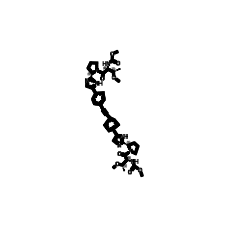 COC(=O)N[C@@H](C(=O)N1CCC[C@H]1c1ncc(-c2ccc(C#Cc3ccc(-c4cnc([C@@H]5CCCN5C(=O)[C@H](NC(=O)OC)[C@H](C)OC)[nH]4)cc3)cc2)[nH]1)[C@H](C)OC